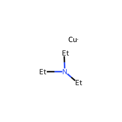 CCN(CC)CC.[Cu]